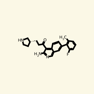 Cc1cccc(F)c1-c1ccc2c(C(=O)CC[C@@H]3CCNC3)c(N)ncc2c1